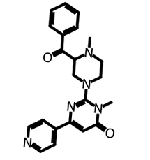 CN1CCN(c2nc(-c3ccncc3)cc(=O)n2C)CC1C(=O)c1ccccc1